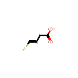 O=C(O)CC=CF